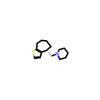 c1cc2c(s1)CCCC[C@@H]2CN1CCCCC1